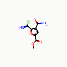 COC(=O)c1cc(C(N)=O)c(C(=N)Cl)o1